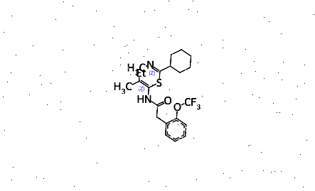 CC/C(C)=C(/NC(=O)Cc1ccccc1OC(F)(F)F)S/C(=N\C)C1CCCCC1